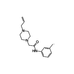 [CH2]c1cccc(NC(=O)CN2CCN(CC=C)CC2)c1